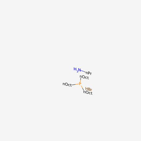 Br.CCCCCCCCP(CCCCCCCC)CCCCCCCC.CCCN